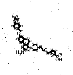 Nc1nc2c(c(N3CCN(CCOCc4ccc(C(=O)O)s4)CC3)n1)CCc1cc(OCc3ccc(OC(F)(F)F)cc3)ccc1-2